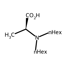 CCCCCCN(CCCCCC)[C@@H](C)C(=O)O